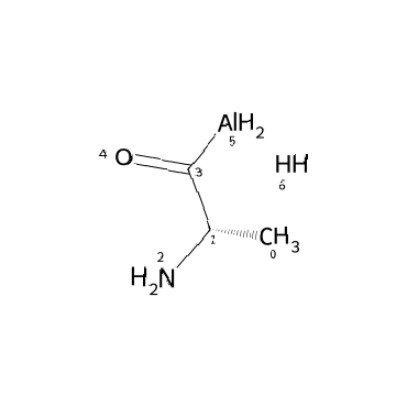 C[C@H](N)[C](=O)[AlH2].[HH]